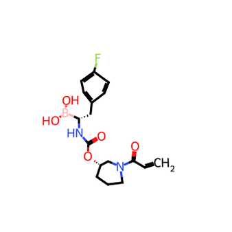 C=CC(=O)N1CCC[C@H](OC(=O)N[C@@H](Cc2ccc(F)cc2)B(O)O)C1